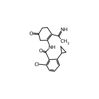 CC(=N)C1=C(NC(=O)c2c(Cl)cccc2C2CC2)CC(=O)CC1